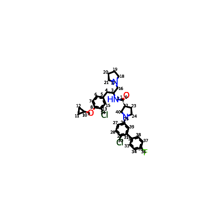 O=C(NC(Cc1ccc(OC2CC2)c(Cl)c1)CN1CCCC1)[C@@H]1CCN(c2ccc(Cl)c(-c3ccc(F)cc3)c2)C1